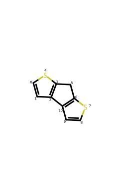 c1cc2c(s1)Cc1sccc1-2